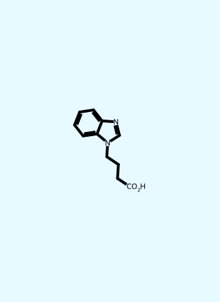 O=C(O)CCCn1cnc2ccccc21